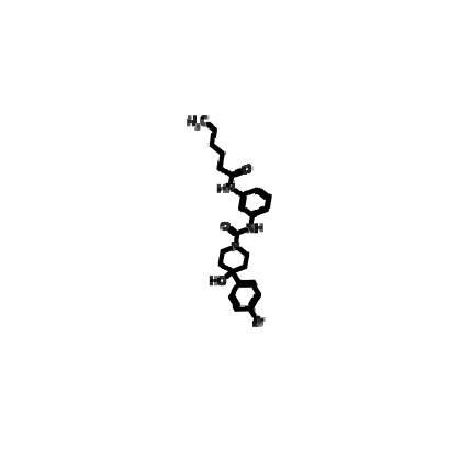 CCCCCC(=O)Nc1cccc(NC(=O)N2CCC(O)(c3ccc(Br)cc3)CC2)c1